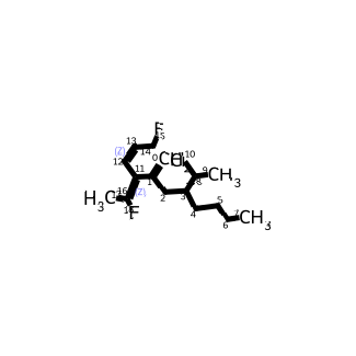 C=C(CC(CCCC)C(C)Cl)C(/C=C\CF)=C(/C)F